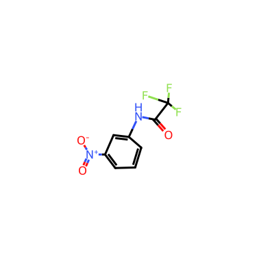 O=C(Nc1cccc([N+](=O)[O-])c1)C(F)(F)F